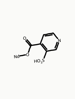 O=C([O][Nd])c1ccncc1S(=O)(=O)O